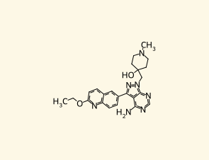 CCOc1ccc2cc(-c3nn(CC4(O)CCN(C)CC4)c4ncnc(N)c34)ccc2n1